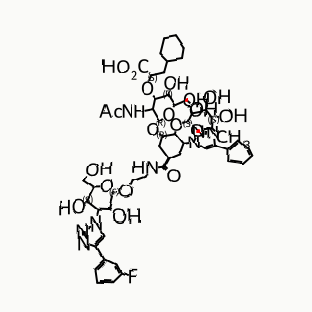 CC(=O)NC1C(O[C@@H](CC2CCCCC2)C(=O)O)[C@@H](O)C(CO)O[C@H]1O[C@@H]1CC(C(=O)NCCO[C@H]2OC(CO)[C@@H](O)C(n3cc(-c4cccc(F)c4)nn3)C2O)CC(n2cc(-c3ccccc3)nn2)C1O[C@@H]1OC(C)[C@@H](O)C(O)C1O